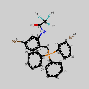 O=C(Nc1cc(Br)ccc1C[P+](c1ccccc1)(c1ccccc1)c1ccccc1)C(F)(F)F.[Br-]